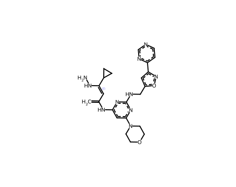 C=C(/C=C(\NN)C1CC1)Nc1cc(N2CCOCC2)nc(NCc2cc(-c3ccncn3)no2)n1